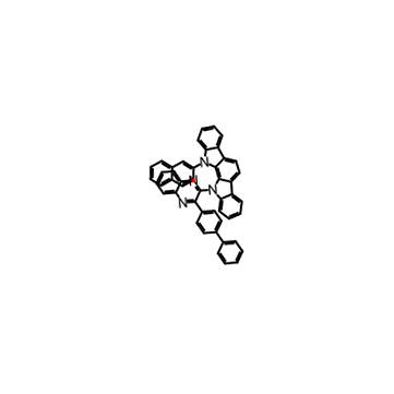 c1ccc(-c2ccc(-c3nc4ccccc4nc3-n3c4ccccc4c4ccc5c6ccccc6n(-c6ccc7ccccc7c6)c5c43)cc2)cc1